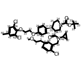 COCCc1ccc(Cl)c(CN(C(=O)[C@H]2CN(C(=O)OC(C)(C)C)CC[C@@H]2c2ccc(OCCOc3c(Cl)cc(C)cc3Cl)cc2)C2CC2)c1